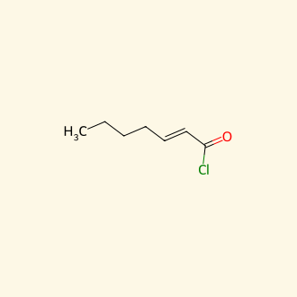 CCCCC=CC(=O)Cl